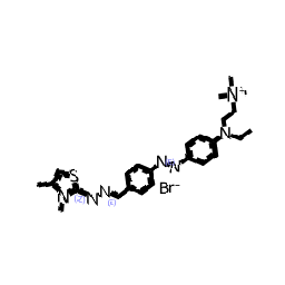 CCN(CC[N+](C)(C)C)c1ccc(/N=N/c2ccc(/C=N/N=c3\scc(C)n3C)cc2)cc1.[Br-]